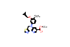 COc1ccc(N(Cc2cncs2)c2cncc(C(=O)OC(C)(C)C)c2)cc1OCC1CC1